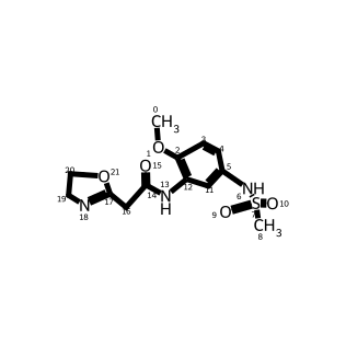 COc1ccc(NS(C)(=O)=O)cc1NC(=O)CC1=NCCO1